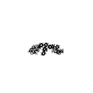 CCCCN(C(=O)[C@@H](NC(=O)OC)C(C)C)c1nc2cc([C@H]3CC[C@H](c4ccc5[nH]c([C@@H]6CCCN6C(=O)[C@@H](NC(=O)OC)C(C)C)nc5c4)N3c3ccc(N4CCCC4)nc3)ccc2[nH]1